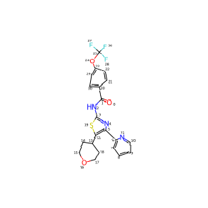 O=C(Nc1nc(-c2ccccn2)c(C2CCOCC2)s1)c1ccc(OC(F)(F)F)cc1